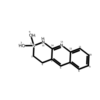 OS1(O)CCc2cc3cc[c]cc3nc2N1